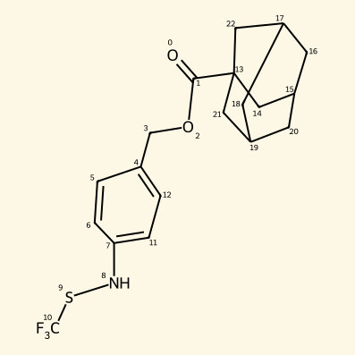 O=C(OCc1ccc(NSC(F)(F)F)cc1)C12CC3CC(CC(C3)C1)C2